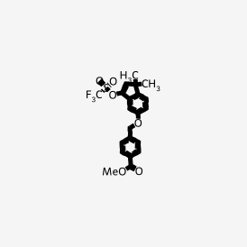 COC(=O)c1ccc(COc2ccc3c(c2)C(OS(=O)(=O)C(F)(F)F)=CC3(C)C)cc1